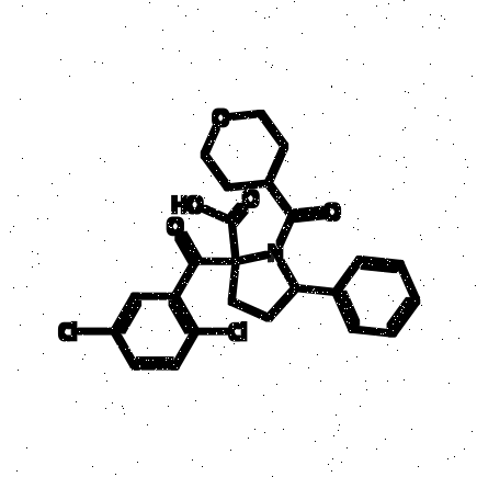 O=C(C1CCOCC1)N1C(c2ccccc2)CCC1(C(=O)O)C(=O)c1cc(Cl)ccc1Cl